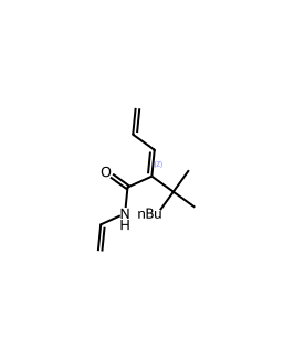 C=C/C=C(\C(=O)NC=C)C(C)(C)CCCC